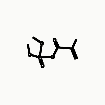 C=C(C)C(=O)OP(=O)(OC)OC